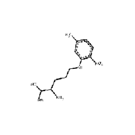 CCCCC(O)C(N)CCCNc1cc(C)ccc1[N+](=O)[O-]